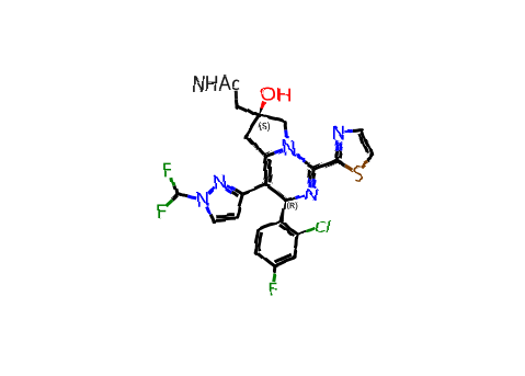 CC(=O)NC[C@@]1(O)CC2=C(c3ccn(C(F)F)n3)[C@H](c3ccc(F)cc3Cl)N=C(c3nccs3)N2C1